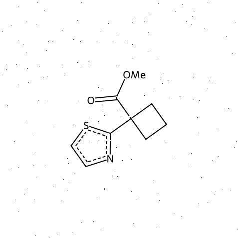 COC(=O)C1(c2nccs2)CCC1